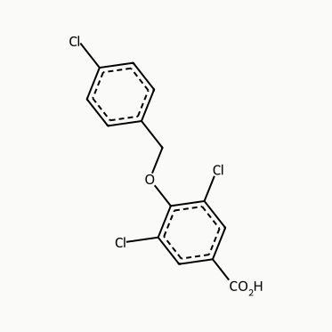 O=C(O)c1cc(Cl)c(OCc2ccc(Cl)cc2)c(Cl)c1